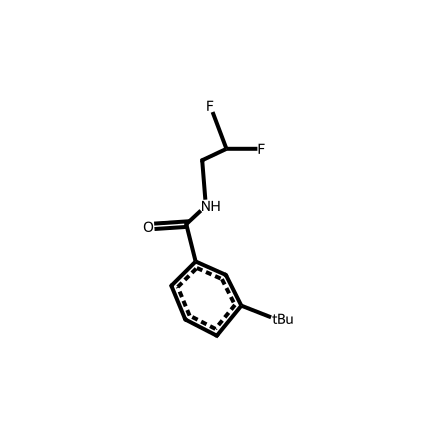 CC(C)(C)c1cccc(C(=O)NCC(F)F)c1